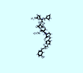 Nc1nc(/C(=N/OC2CCCC2)C(=O)N[C@@H]2C(=O)N3C(C(=O)[O-])=C(/C=C4\CCN(Cc5cc[n+](CC(=O)NCc6cccc(O)c6)cc5)C4=O)CS[C@H]23)cs1